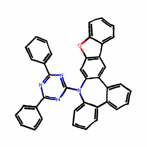 c1ccc(-c2nc(-c3ccccc3)nc(N3c4ccccc4-c4ccccc4-c4cc5c(cc43)oc3ccccc35)n2)cc1